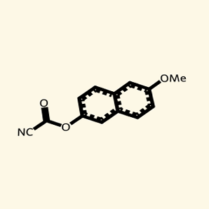 COc1ccc2cc(OC(=O)C#N)ccc2c1